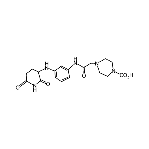 O=C1CCC(Nc2cccc(NC(=O)CN3CCN(C(=O)O)CC3)c2)C(=O)N1